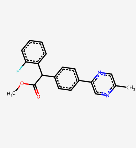 COC(=O)C(c1ccc(-c2cnc(C)cn2)cc1)c1ccccc1F